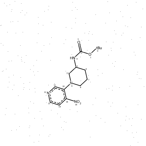 CC(C)(C)OC(=O)NC1CCCN(c2cnccc2[N+](=O)[O-])C1